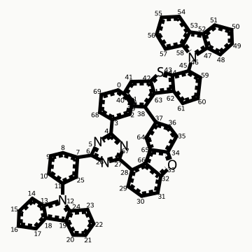 c1ccc(-c2nc(-c3cccc(-n4c5ccccc5c5ccccc54)c3)nc(-c3cccc4oc5ccc(-c6cccc7sc8c(-n9c%10ccccc%10c%10ccccc%109)cccc8c67)cc5c34)n2)cc1